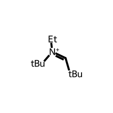 CC/[N+](=C/C(C)(C)C)C(C)(C)C